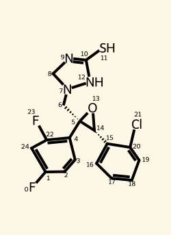 Fc1ccc([C@@]2(CN3CN=C(S)N3)O[C@@H]2c2ccccc2Cl)c(F)c1